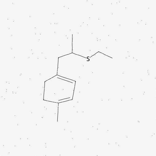 CCSC(C)CC1=CC=C(C)CC1